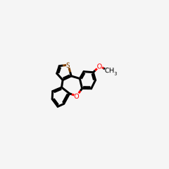 COc1ccc2c(c1)-c1sccc1-c1ccccc1O2